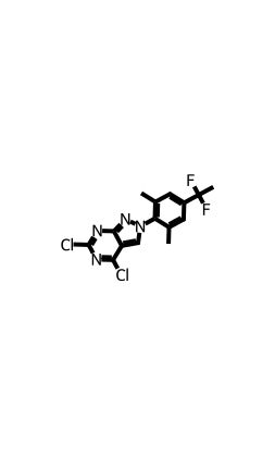 Cc1cc(C(C)(F)F)cc(C)c1-n1cc2c(Cl)nc(Cl)nc2n1